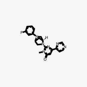 Cn1c(N2CC3C[C@H]2CN3c2cccc(F)c2)nc(-c2ccncn2)cc1=O